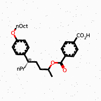 CCCCCCCCOc1ccc([C@@H](CCC)CCC(C)OC(=O)c2ccc(C(=O)O)cc2)cc1